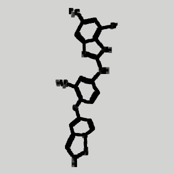 Cc1cc(Nc2nc3cc(C(F)(F)F)cc(Br)c3[nH]2)ccc1OC1=CC2=CNSN2C=C1